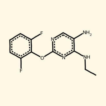 CCNc1nc(Oc2c(F)cccc2F)ncc1N